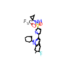 Cc1cc2c(cc1F)cc(-c1ccc(S(=O)(=O)NC3(C(F)(F)F)CC3)cn1)n2C1CCCCC1